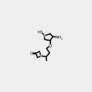 CC(CCOC1CN(S)CC1N)N1CC(=O)C1